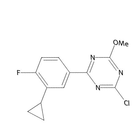 COc1nc(Cl)nc(-c2ccc(F)c(C3CC3)c2)n1